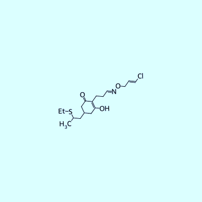 CCSC(C)CC1CC(=O)C(CCC=NOCC=CCl)=C(O)C1